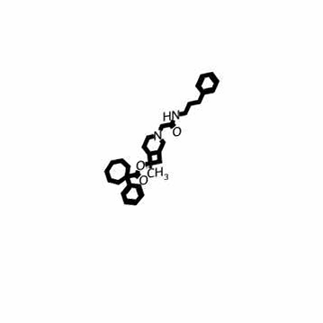 C[C@]1(OC(=O)C2(c3ccccc3)CCCCCC2)CC2CN(CC(=O)NCCCc3ccccc3)CCC21